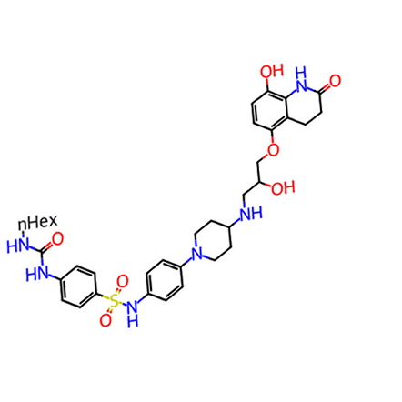 CCCCCCNC(=O)Nc1ccc(S(=O)(=O)Nc2ccc(N3CCC(NCC(O)COc4ccc(O)c5c4CCC(=O)N5)CC3)cc2)cc1